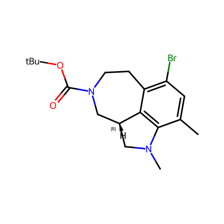 Cc1cc(Br)c2c3c1N(C)C[C@@H]3CN(C(=O)OC(C)(C)C)CC2